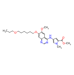 CCCOCCCCCCOc1cc2ncnc(Nc3cc(C(=O)OC)n(C)c3)c2cc1OC